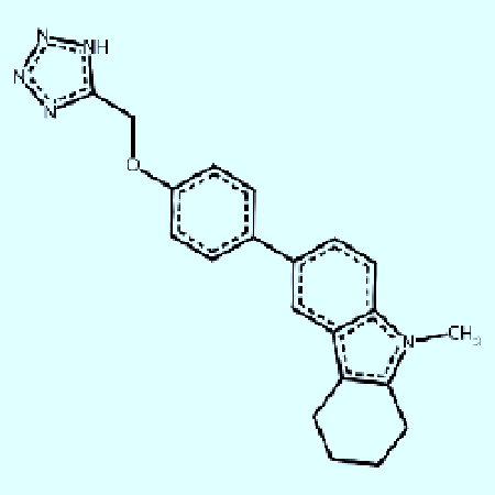 Cn1c2c(c3cc(-c4ccc(OCc5nnn[nH]5)cc4)ccc31)CCCC2